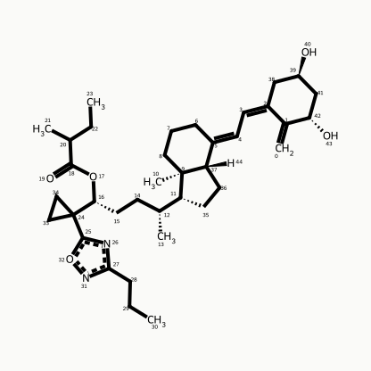 C=C1/C(=C\C=C2/CCC[C@]3(C)[C@@H]([C@H](C)CC[C@@H](OC(=O)C(C)CC)C4(c5nc(CCC)no5)CC4)CC[C@@H]23)C[C@@H](O)C[C@@H]1O